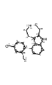 Clc1ccc(-c2cccc3[nH]c4c(c23)CCNCC4)c(Cl)c1